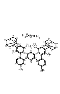 Cc1cc(-c2ccc(C(C)C)cc2-c2cccc(-c3cc(C(C)C)ccc3-c3cc(C)cc(C45CC6CC(CC(C6)C4)C5)c3[O-])n2)c([O-])c(C23CC4CC(CC(C4)C2)C3)c1.[CH3][Zr+2][CH3]